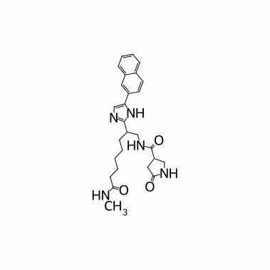 CNC(=O)CCCCCC(CNC(=O)C1CNC(=O)C1)c1ncc(-c2ccc3ccccc3c2)[nH]1